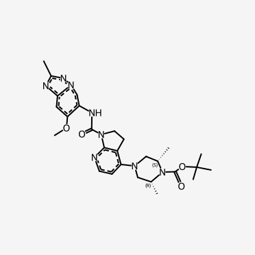 COc1cc2nc(C)nn2cc1NC(=O)N1CCc2c(N3C[C@@H](C)N(C(=O)OC(C)(C)C)[C@@H](C)C3)ccnc21